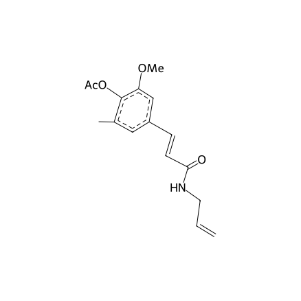 C=CCNC(=O)/C=C/c1cc(C)c(OC(C)=O)c(OC)c1